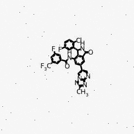 Cc1nc2ncc(-c3cc(NC(=O)c4cc(F)cc(C(F)(F)F)c4)c4c(c3)C(=O)NC4c3cc(F)ccc3Cl)cn2n1